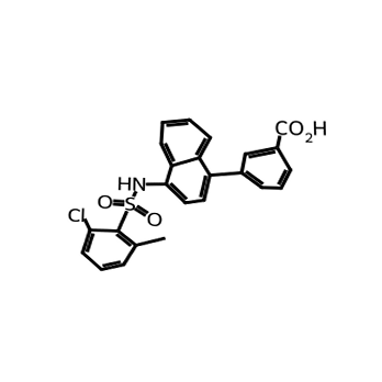 Cc1cccc(Cl)c1S(=O)(=O)Nc1ccc(-c2cccc(C(=O)O)c2)c2ccccc12